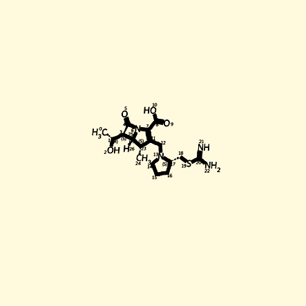 C[C@@H](O)[C@H]1C(=O)N2C(C(=O)O)=C(CN3CCC[C@H]3CSC(=N)N)[C@H](C)[C@H]12